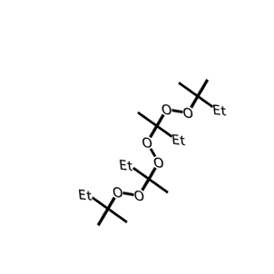 CCC(C)(C)OOC(C)(CC)OOC(C)(CC)OOC(C)(C)CC